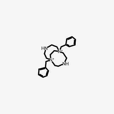 c1ccc(C[N+]23CCNCC[N+](Cc4ccccc4)(CCNCC2)CC3)cc1